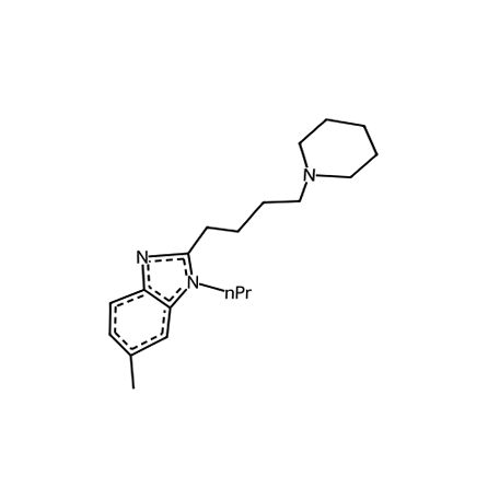 CCCn1c(CCCCN2CCCCC2)nc2ccc(C)cc21